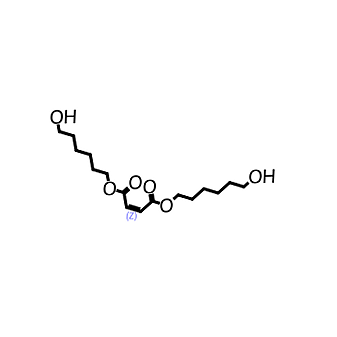 O=C(/C=C\C(=O)OCCCCCCO)OCCCCCCO